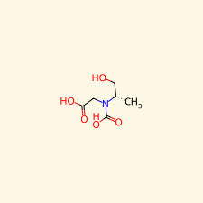 C[C@@H](CO)N(CC(=O)O)C(=O)O